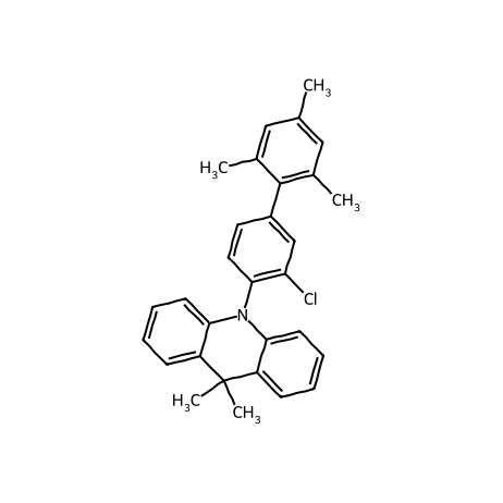 Cc1cc(C)c(-c2ccc(N3c4ccccc4C(C)(C)c4ccccc43)c(Cl)c2)c(C)c1